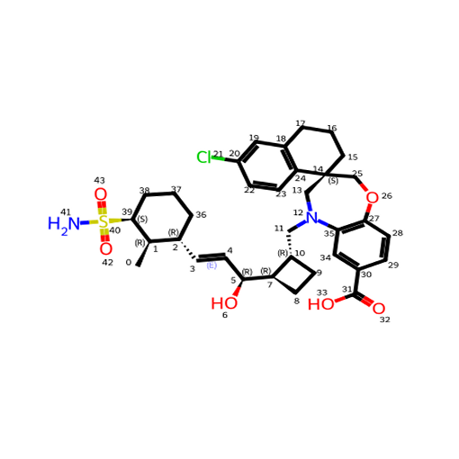 C[C@@H]1[C@@H](/C=C/[C@H](O)[C@@H]2CC[C@H]2CN2C[C@@]3(CCCc4cc(Cl)ccc43)COc3ccc(C(=O)O)cc32)CCC[C@@H]1S(N)(=O)=O